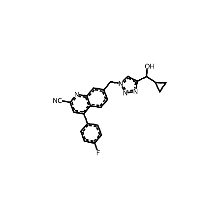 N#Cc1cc(-c2ccc(F)cc2)c2ccc(Cn3cc(C(O)C4CC4)nn3)cc2n1